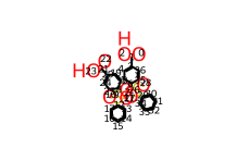 O=C(O)C1=CCC(OC2(S(=O)(=O)c3ccccc3)C=CC(C(=O)O)=CC2)(S(=O)(=O)c2ccccc2)C=C1